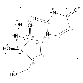 O=c1ccn([C@@H]2O[C@H](CO)[C@@H](O)[C@]2(O)NO)c(=O)[nH]1